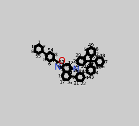 c1ccc(-c2ccc(-c3nc4c(cc5c6c(cccc64)-c4ccccc4N5c4ccc5c(c4)C(c4ccccc4)(c4ccccc4)c4ccccc4-5)o3)cc2)cc1